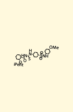 CCCC(C)Oc1ccccc1C(=O)NC(=S)Nc1ccc(S(=O)(=O)Nc2ccc(OC)cc2)cc1